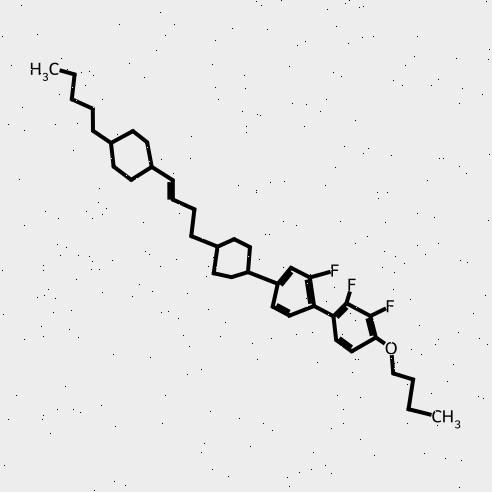 CCCCCC1CCC(/C=C/CCC2CCC(c3ccc(-c4ccc(OCCCC)c(F)c4F)c(F)c3)CC2)CC1